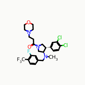 CN(Cc1ccc(C(F)(F)F)c(F)c1)[C@H]1CN(C(=O)CCN2CCOCC2)C[C@@H]1c1ccc(Cl)c(Cl)c1